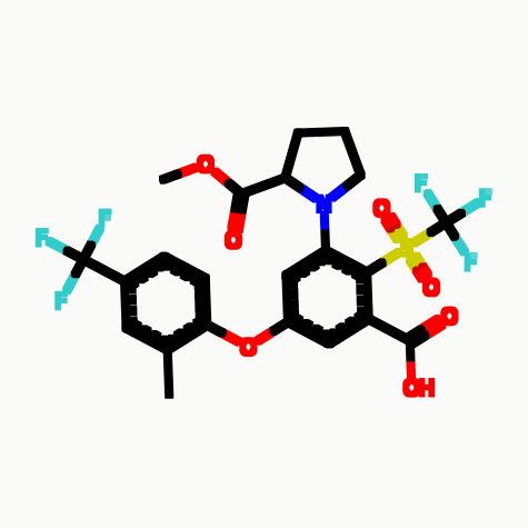 COC(=O)C1CCCN1c1cc(Oc2ccc(C(F)(F)F)cc2C)cc(C(=O)O)c1S(=O)(=O)C(F)(F)F